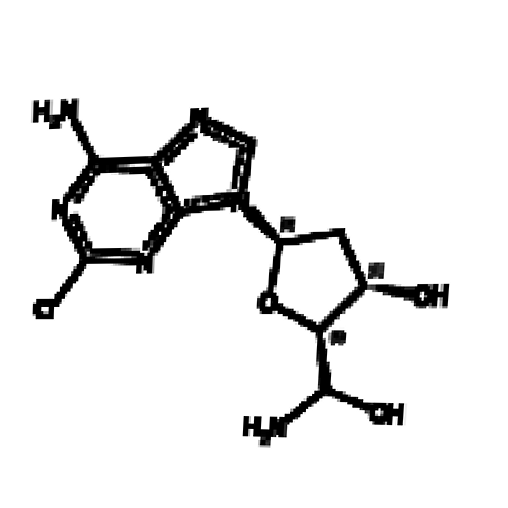 Nc1nc(Cl)nc2c1ncn2[C@H]1C[C@H](O)[C@@H](C(N)O)O1